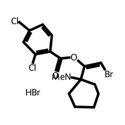 Br.CNC1(C(=CBr)OC(=O)c2ccc(Cl)cc2Cl)CCCCC1